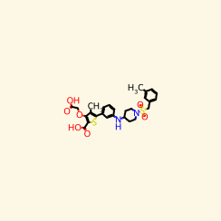 Cc1cccc(CS(=O)(=O)N2CCC(Nc3cccc(-c4sc(C(=O)O)c(OCC(=O)O)c4C)c3)CC2)c1